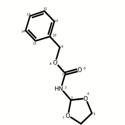 O=C(NC1OCCO1)OCc1ccccc1